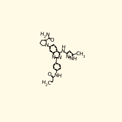 C=CC(=O)Nc1ccc(-c2nc(Nc3cc(C)[nH]n3)c3ccc(N4CCC[C@H]4C(N)=O)cc3n2)cc1